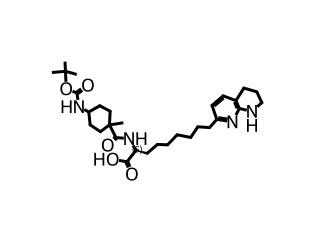 CC(C)(C)OC(=O)NC1CCC(C)(C(=O)N[C@@H](CCCCCCCc2ccc3c(n2)NCCC3)C(=O)O)CC1